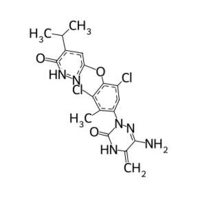 C=C1NC(=O)N(c2cc(Cl)c(Oc3cc(C(C)C)c(=O)[nH]n3)c(Cl)c2C)N=C1N